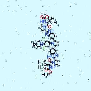 COC(=O)N[C@H](C(=O)N1CCC[C@H]1c1nc2cc([C@H]3CC[C@H](c4ccc5[nH]c([C@@H]6CCCN6C(=O)[C@@H](NC(=O)OC)C(C)C)nc5c4)N3c3cc(F)c(N4CCC5(CC4)CC5)c(F)c3)ccc2[nH]1)C(C)C